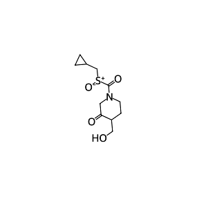 O=C1CN(C(=O)[S+]([O-])CC2CC2)CCC1CO